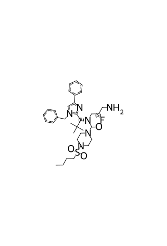 CCCCS(=O)(=O)N1CCN(C(=O)N(C[C@@H](F)CN)[C@@H](c2nc(-c3ccccc3)cn2Cc2ccccc2)C(C)(C)C)CC1